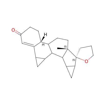 C[C@]12CCC3C(C4CC4C4=CC(=O)CC[C@@H]43)C1C1CC1[C@@]21CCCO1